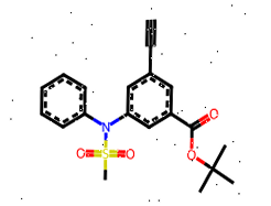 C#Cc1cc(C(=O)OC(C)(C)C)cc(N(c2ccccc2)S(C)(=O)=O)c1